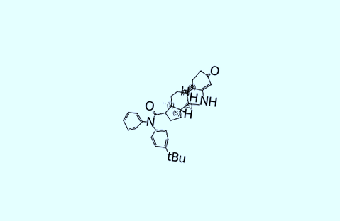 CC(C)(C)c1ccc(N(C(=O)C2CC[C@H]3[C@@H]4CNC5=CC(=O)CC[C@]5(C)[C@@H]4CC[C@]23C)c2ccccc2)cc1